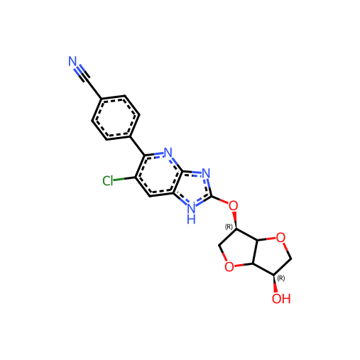 N#Cc1ccc(-c2nc3nc(O[C@@H]4COC5C4OC[C@H]5O)[nH]c3cc2Cl)cc1